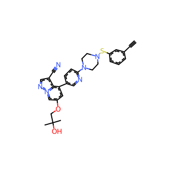 C#Cc1cccc(SN2CCN(c3ccc(-c4cc(OCC(C)(C)O)cn5ncc(C#N)c45)cn3)CC2)c1